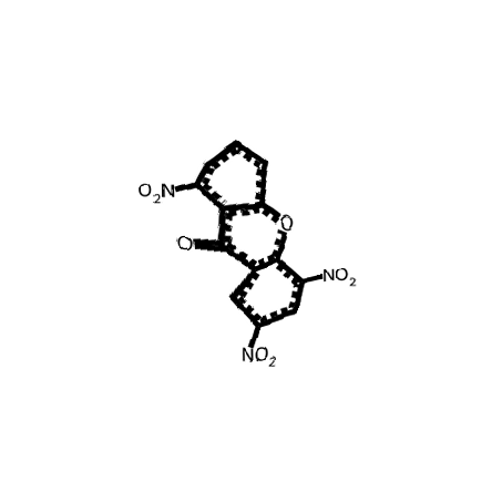 O=c1c2cc([N+](=O)[O-])cc([N+](=O)[O-])c2oc2cccc([N+](=O)[O-])c12